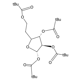 CC(C)(C)C(=O)OCCC1O[C@@H](OC(=O)C(C)(C)C)[C@H](OC(=O)C(C)(C)C)[C@H]1OC(=O)C(C)(C)C